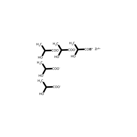 CC(O)C(=O)[O-].CC(O)C(=O)[O-].CC(O)C(=O)[O-].CC(O)C(=O)[O-].CC(O)C(=O)[O-].[K+].[Zr+4]